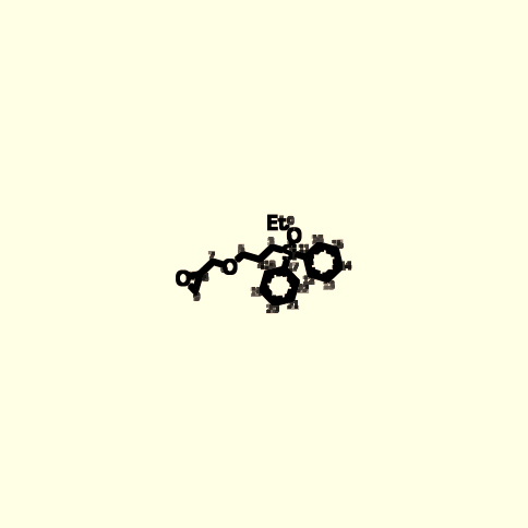 CCO[Si](CCCOCC1CO1)(c1ccccc1)c1ccccc1